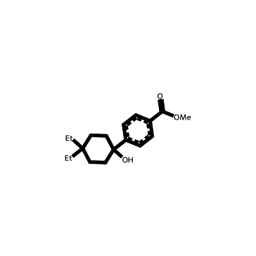 CCC1(CC)CCC(O)(c2ccc(C(=O)OC)cc2)CC1